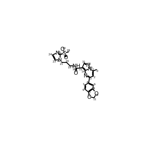 Cc1cc(-c2ccc3c(c2)OCO3)nc2c(C(=O)NCCCn3ccnc3S(C)(=O)=O)cnn12